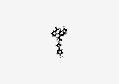 Cc1c(-c2cc(OC(C)c3ccccn3)n3c(Cl)cnc3c2)nnn1C1CN(C2CCN(C#N)CC2)C1